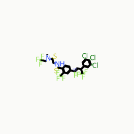 CN(CC(F)(F)F)C(=S)CNC(=S)c1ccc(/C(F)=C/C(c2cc(Cl)c(Cl)c(Cl)c2)C(F)(F)F)cc1C(F)(F)F